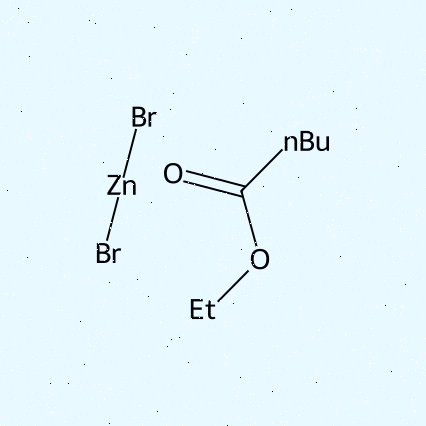 [Br][Zn][Br].[CH2]CCCC(=O)OCC